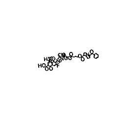 COc1c(N2CCN(C(=O)OCOC(=O)CCCOC(=O)C3CCn4c(C(=O)c5ccccc5)ccc43)C(C)C2)c(F)cc2c(=O)c(C(=O)O)cn(C3CC3)c12